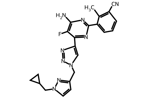 Cc1c(C#N)cccc1-c1nc(N)c(F)c(-c2cn(Cc3ccn(CC4CC4)n3)nn2)n1